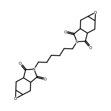 O=C1C2CC3OC3CC2C(=O)N1CCCCCCN1C(=O)C2CC3OC3CC2C1=O